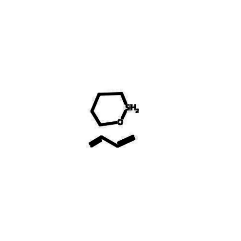 C1CC[SiH2]OC1.C=CC=C